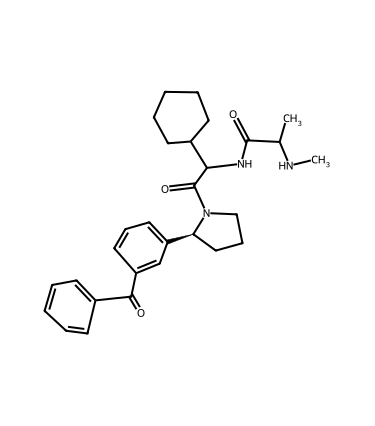 CNC(C)C(=O)NC(C(=O)N1CCC[C@H]1c1cccc(C(=O)c2ccccc2)c1)C1CCCCC1